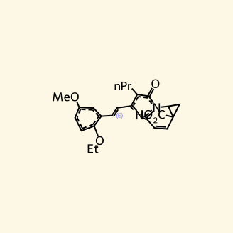 CCCc1c(/C=C/c2cc(OC)ccc2OCC)nc2n(c1=O)C1CC1(C(=O)O)C=C2